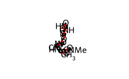 CNC(=O)COc1cc2cc(Nc3nc(N4CCOC(COc5ccc(C(=O)NC6CCC(=O)NC6=O)nc5)C4)ncc3Cl)ccc2n(C)c1=O